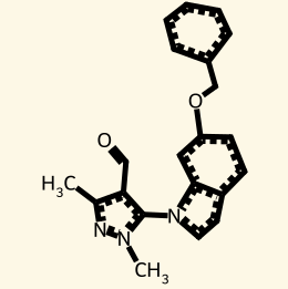 Cc1nn(C)c(-n2ccc3ccc(OCc4ccccc4)cc32)c1C=O